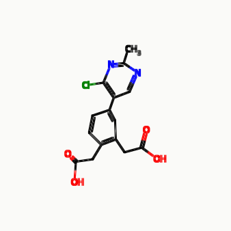 Cc1ncc(-c2ccc(CC(=O)O)c(CC(=O)O)c2)c(Cl)n1